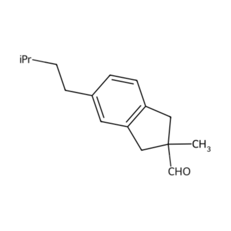 CC(C)CCc1ccc2c(c1)CC(C)(C=O)C2